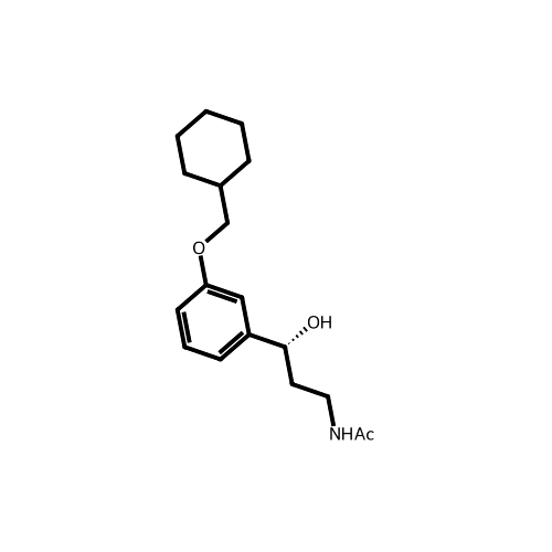 CC(=O)NCC[C@@H](O)c1cccc(OCC2CCCCC2)c1